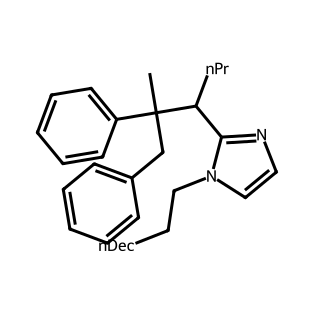 CCCCCCCCCCCCn1ccnc1C(CCC)C(C)(Cc1ccccc1)c1ccccc1